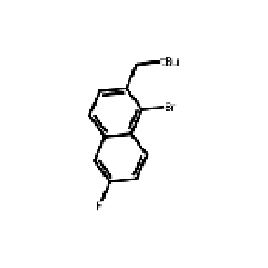 CC(C)(C)Cc1ccc2cc(F)ccc2c1Br